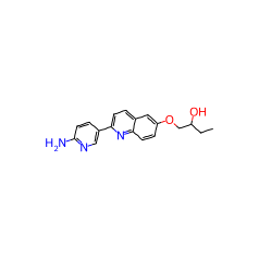 CCC(O)COc1ccc2nc(-c3ccc(N)nc3)ccc2c1